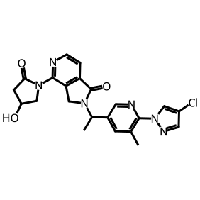 Cc1cc(C(C)N2Cc3c(ccnc3N3CC(O)CC3=O)C2=O)cnc1-n1cc(Cl)cn1